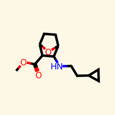 COC(=O)C1C2CCC(O2)C1NCCC1CC1